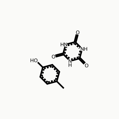 Cc1ccc(O)cc1.O=c1[nH]c(=O)[nH]c(=O)[nH]1